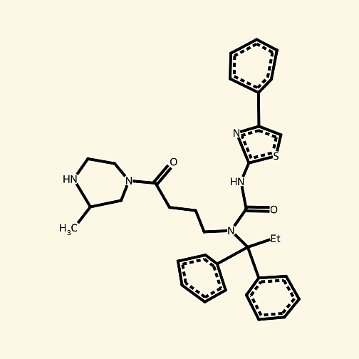 CCC(c1ccccc1)(c1ccccc1)N(CCCC(=O)N1CCNC(C)C1)C(=O)Nc1nc(-c2ccccc2)cs1